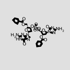 Nc1ncn([C@H]2C[C@@H](OC(=O)c3ccccc3)[C@@H](COP(=O)(O)OC3C[C@H](n4cnc5c(=O)[nH]c(N)nc54)O[C@@H]3COC(=O)c3ccccc3)O2)c(=O)n1